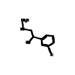 O=C(O)NCC(O)c1cccc(Cl)c1